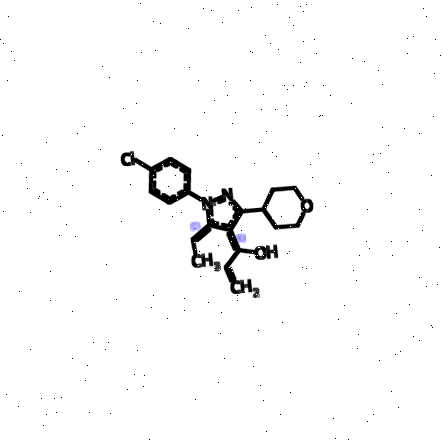 C=C/C(O)=c1/c(C2CCOCC2)nn(-c2ccc(Cl)cc2)/c1=C/C